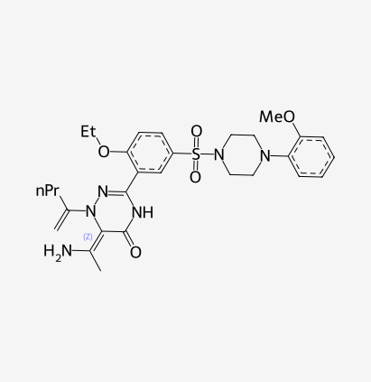 C=C(CCC)N1N=C(c2cc(S(=O)(=O)N3CCN(c4ccccc4OC)CC3)ccc2OCC)NC(=O)/C1=C(\C)N